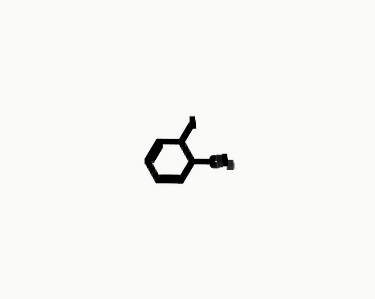 CC1C=CC=CC1I